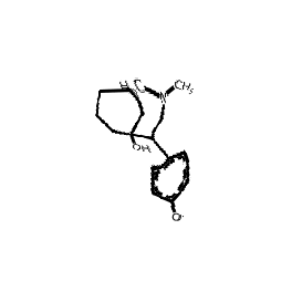 CN(C)CC(c1ccc([O])cc1)C1(O)CCCCC1